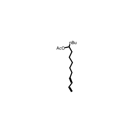 C=CC=CCCCCCC(CCCC)OC(C)=O